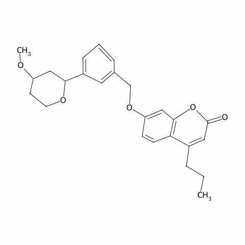 CCCc1cc(=O)oc2cc(OCc3cccc(C4CC(OC)CCO4)c3)ccc12